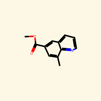 COC(=O)c1cc(C)c2ncccc2c1